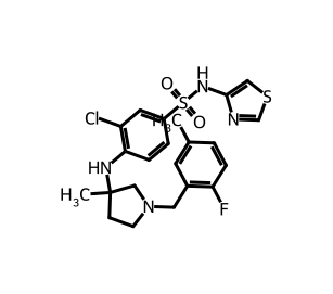 Cc1ccc(F)c(CN2CCC(C)(Nc3ccc(S(=O)(=O)Nc4cscn4)cc3Cl)C2)c1